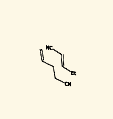 C=CCCC#N.CCC=CC#N